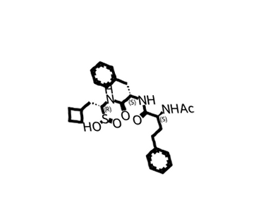 CC(=O)N[C@@H](CCc1ccccc1)C(=O)N[C@@H](Cc1ccccc1)C(=O)N[C@@H](CC1CCC1)S(=O)O